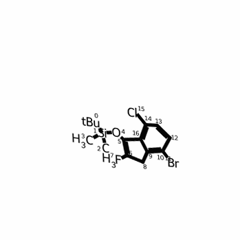 CC(C)(C)[Si](C)(C)OC1=C(F)Cc2c(Br)ccc(Cl)c21